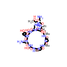 CCC(C)[C@@H]1NC(=O)[C@@H]2CCCN2C(=O)[C@H](C(C)CC)NC(=O)C2CCCN2C(=O)[C@@H](C(C)CC)NC(=O)[C@@H](CO)NC(=O)[C@@H](CCCN)NC(=O)[C@H](Cc2ccc(O)cc2)NC(=O)[C@H](CO)NC(=O)[C@@H](CCCN)NC(=O)[C@@H](NC(=O)[C@@H](NC(=O)[C@@H](CCCN)NC(=O)CC(C)O)C(C)C)C(C)OC1=O